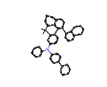 CC1(C)c2cc(N(c3ccccc3)c3ccc(-c4ccccc4)cc3)ccc2-c2c(-c3cccc4ccccc34)ccc3cccc1c23